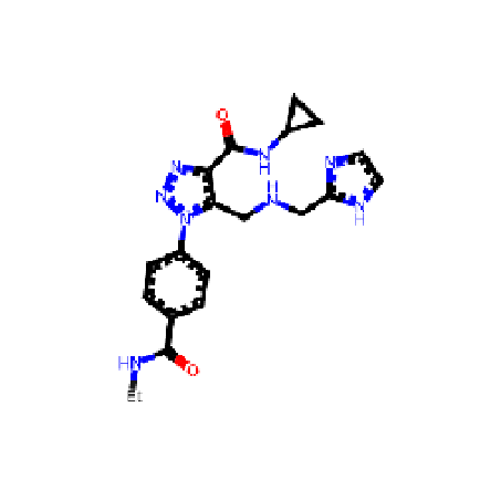 CCNC(=O)c1ccc(-n2nnc(C(=O)NC3CC3)c2CNCc2ncc[nH]2)cc1